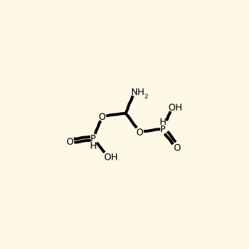 NC(O[PH](=O)O)O[PH](=O)O